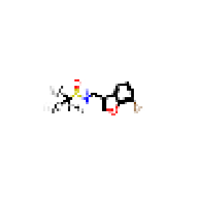 CC(C)(C)[S+]([O-])NCc1coc2c(Br)cccc12